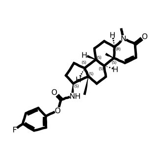 CN1C(=O)C=C[C@]2(C)[C@H]3CC[C@]4(C)[C@@H](NC(=O)Oc5ccc(F)cc5)CC[C@H]4[C@@H]3CC[C@@H]12